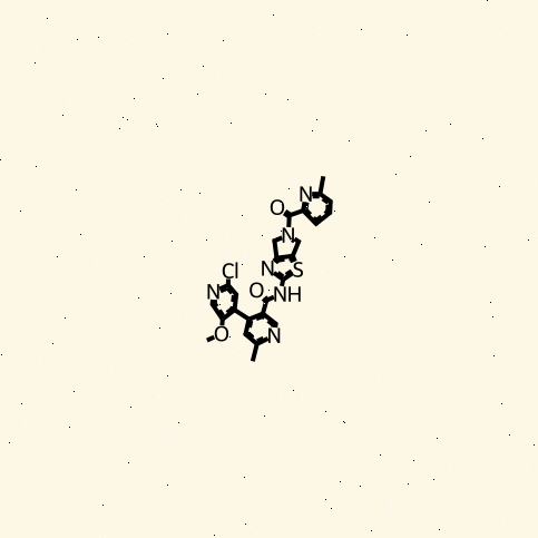 COc1cnc(Cl)cc1-c1cc(C)ncc1C(=O)Nc1nc2c(s1)CN(C(=O)c1cccc(C)n1)C2